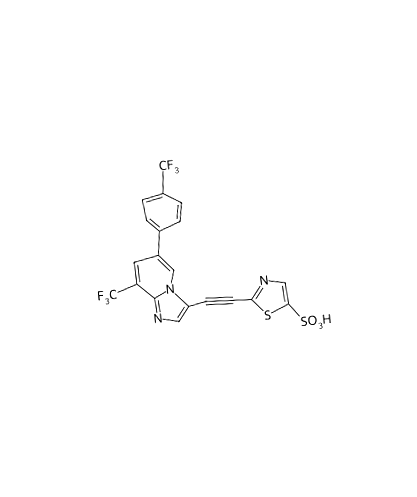 O=S(=O)(O)c1cnc(C#Cc2cnc3c(C(F)(F)F)cc(-c4ccc(C(F)(F)F)cc4)cn23)s1